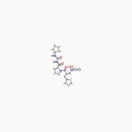 O=CN(O)C[C@@H](CC1CCCC1)C(=O)N1CCC[C@H]1C(=O)NC(=O)NC1CCCC1